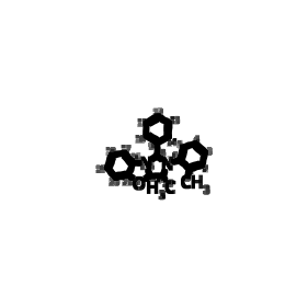 Cc1ccccc1N1C(c2ccccc2)N2c3ccccc3OC2[C@@H]1C